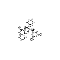 O=C(Nc1cc(Cl)cc(Cl)c1)C(Sc1cc2ccccc2c[n+]1[O-])c1ccccc1